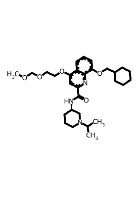 COCOCCOc1cc(C(=O)N[C@@H]2CCCN(C(C)C)C2)nc2c(OCC3CCCCC3)cccc12